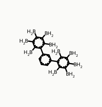 Bc1c(B)c(B)c(-c2cccc(-c3c(B)c(B)c(B)c(B)c3B)c2)c(B)c1B